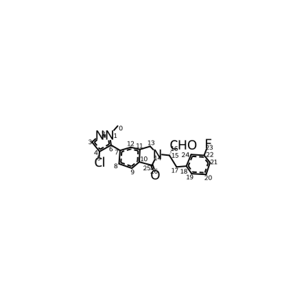 Cn1ncc(Cl)c1-c1ccc2c(c1)CN([C@H](C=O)Cc1cccc(F)c1)C2=O